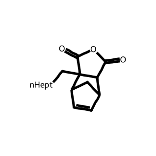 CCCCCCCCC12C(=O)OC(=O)C1C1C=CC2C1